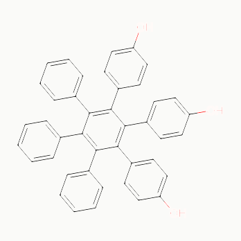 Oc1ccc(-c2c(-c3ccccc3)c(-c3ccccc3)c(-c3ccccc3)c(-c3ccc(O)cc3)c2-c2ccc(O)cc2)cc1